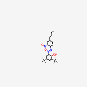 CCCCc1ccc(/N=N/c2cc(C(C)(C)C)cc(C(C)(C)C)c2O)c([N+](=O)[O-])c1